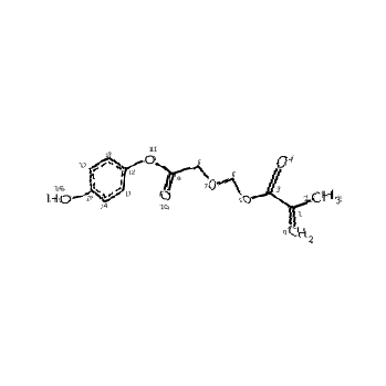 C=C(C)C(=O)OCOCC(=O)Oc1ccc(O)cc1